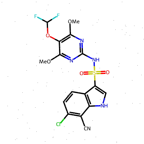 COc1nc(NS(=O)(=O)c2c[nH]c3c(C#N)c(Cl)ccc23)nc(OC)c1OC(F)F